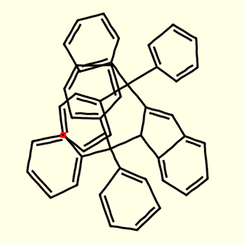 C1=C(C(c2ccccc2)(c2ccccc2)c2ccccc2)C(C(c2ccccc2)(c2ccccc2)c2ccccc2)c2ccccc21